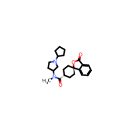 CN(C(=O)[C@H]1CC[C@@]2(CC1)OC(=O)c1ccccc12)C1CCN(C2CCCC2)C1